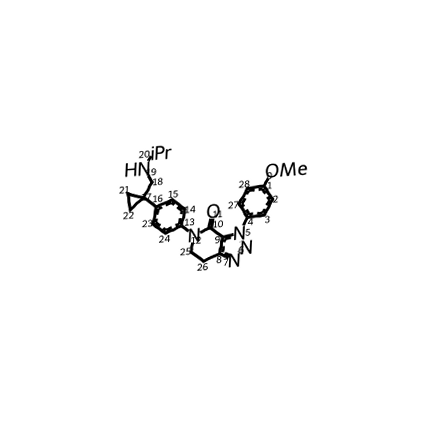 COc1ccc(-n2nnc3c2C(=O)N(c2ccc(C4(CNC(C)C)CC4)cc2)CC3)cc1